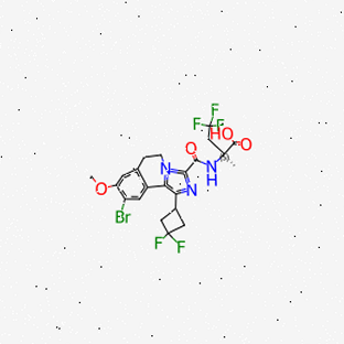 COc1cc2c(cc1Br)-c1c(C3CC(F)(F)C3)nc(C(=O)N[C@@](C)(CC(F)(F)F)C(=O)O)n1CC2